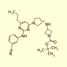 CCCc1cc(N2CC[C@H](NC3CN(C(=O)OC(C)(C)C)C3)C2)nc(Nc2cccc(C#N)c2)n1